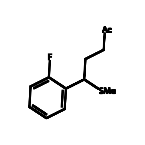 CSC(CCC(C)=O)c1ccccc1F